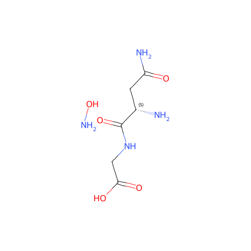 NC(=O)C[C@H](N)C(=O)NCC(=O)O.NO